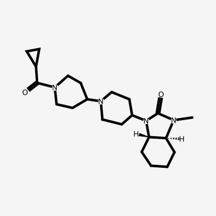 CN1C(=O)N(C2CCN(C3CCN(C(=O)C4CC4)CC3)CC2)[C@H]2CCCC[C@@H]21